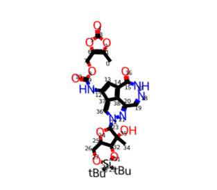 Cc1oc(=O)oc1COC(=O)Nc1cc2c(=O)[nH]ncc3nn(C4OC5CO[Si](C(C)(C)C)(C(C)(C)C)OC5C4(C)O)cc1c32